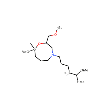 CCCCOCC1CN(CCC[SiH2]C(OC)OC)CCC[Si](C)(OC)O1